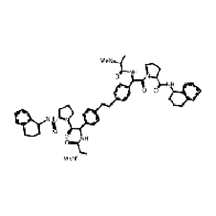 CN[C@@H](C)C(=O)NC(C(=O)N1CCC[C@H]1C(=O)NC1CCCc2ccccc21)c1ccc(CCc2ccc(C(NC(=O)[C@H](C)NC)C(=O)N3CCC[C@H]3C(=O)NC3CCCc4ccccc43)cc2)cc1